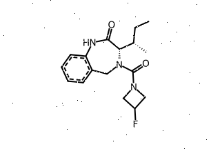 CC[C@H](C)[C@H]1C(=O)Nc2ccccc2CN1C(=O)N1CC(F)C1